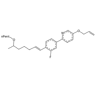 C=CCOc1ccc(-c2ccc(/C=C/CCCC(C)OCCCCC)c(F)c2)nc1